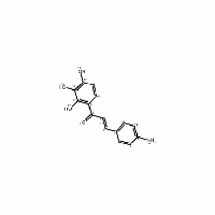 Nc1ccc(/C=C/C(=O)c2ccc(O)c(O)c2O)cc1